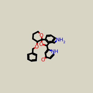 NCCC(OC1(c2ccccc2)OCCCC1OCc1ccccc1)c1cc(=O)cc[nH]1